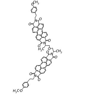 COc1ccc(CCN2C(=O)c3ccc4c5ccc6c7c(ccc(c8ccc(c3c48)C2=O)c75)C(=O)N(C(C)COCC(C)N2C(=O)c3ccc4c5ccc7c8c(ccc(c9ccc(c3c49)C2=O)c85)C(=O)N(CCc2ccc(OC)cc2)C7=O)C6=O)cc1